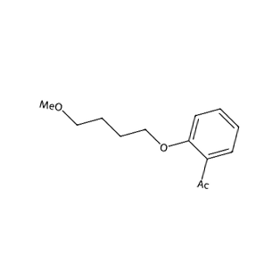 COCCCCOc1ccccc1C(C)=O